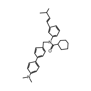 CC(C)C=Cc1cccc(N(Cc2ccc(-c3ccc(N(C)C)cc3)cc2)C(=O)C2CCCCC2)c1